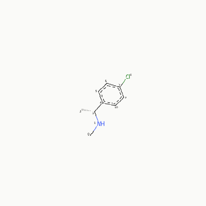 CN[C@H](C)c1ccc(Cl)cc1